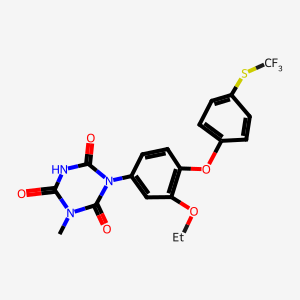 CCOc1cc(-n2c(=O)[nH]c(=O)n(C)c2=O)ccc1Oc1ccc(SC(F)(F)F)cc1